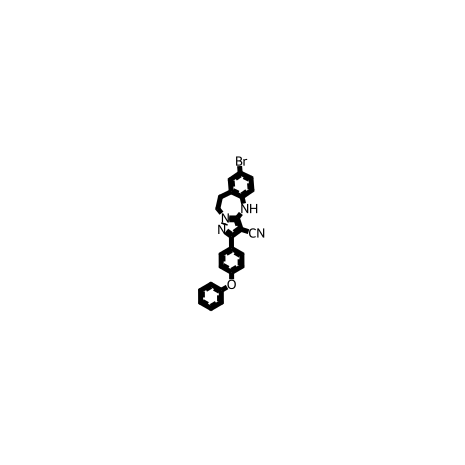 N#Cc1c(-c2ccc(Oc3ccccc3)cc2)nn2c1Nc1ccc(Br)cc1CC2